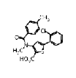 Cc1ccc(C(=O)N(C)c2cc(-c3ccccc3Cl)sc2C(=O)O)cc1